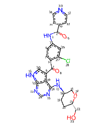 O=C(Nc1ccc(C(=O)c2c[nH]c3ncnc(N[C@@H]4CC[C@@H](CO)OC4)c23)c(Cl)c1)c1ccncc1